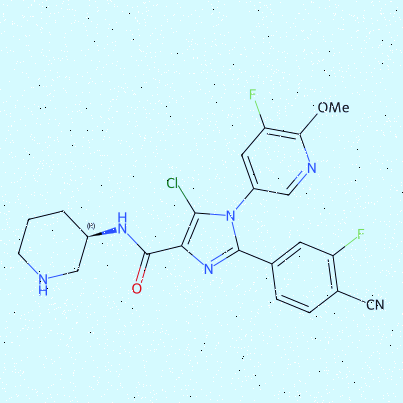 COc1ncc(-n2c(-c3ccc(C#N)c(F)c3)nc(C(=O)N[C@@H]3CCCNC3)c2Cl)cc1F